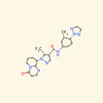 O=C(Nc1ccc(-n2nccn2)c(C(F)(F)F)c1)c1cnn(-c2cccn3c(=O)ccnc23)c1C(F)(F)F